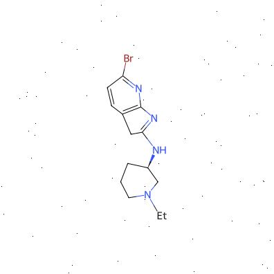 CCN1CCC[C@@H](NC2=Nc3nc(Br)ccc3C2)C1